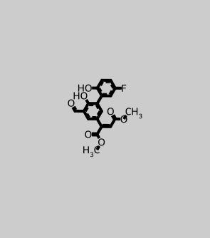 COC(=O)/C=C(/C(=O)OC)c1cc(C=O)c(O)c(-c2cc(F)ccc2O)c1